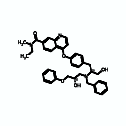 CCN(C)C(=O)c1ccc2c(Oc3ccc(C[C@@H](CO)N(Cc4ccccc4)C[C@H](O)COc4ccccc4)cc3)ccnc2c1